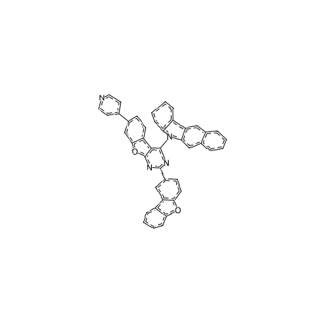 c1ccc2cc3c(cc2c1)c1ccccc1n3-c1nc(-c2ccc3oc4ccccc4c3c2)nc2oc3cc(-c4ccncc4)ccc3c12